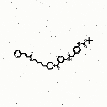 CC(C)(C)OC(=O)Nc1ccc(CC(=O)Nc2cccc(C(=O)N3CCC(CCCCNC(=O)/C=C/c4cccnc4)CC3)c2)cc1